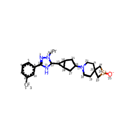 CC(C)N1N=C(c2cccc(C(F)(F)F)c2)NC1C1C2CC(N3CCC4(CC3)C[S+]([O-])C4)CC21